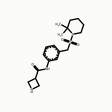 CC1(C)CCCCN1S(=O)(=O)Cc1cccc(NC(=O)C2CNC2)c1